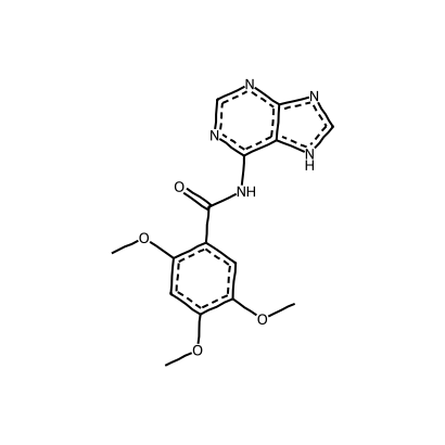 COc1cc(OC)c(C(=O)Nc2ncnc3nc[nH]c23)cc1OC